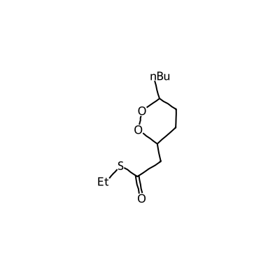 CCCCC1CCC(CC(=O)SCC)OO1